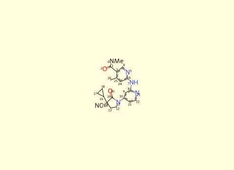 CNC(=O)c1cnc(Nc2cc(N3CC[C@@](C#N)(C4CC4)C3=O)ccn2)cc1C